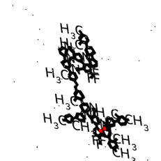 Cc1ccc(-c2ccc3c(c2)c2cc(-c4ccc(CCc5ccc(-c6ccc7c8ccccc8n(-c8cc(-c9ccc(C(F)(F)F)cc9C#N)c(-n9c%10ccccc%10c%10ccc(-c%11ccc(C)cc%11C)cc%109)cc8C#N)c7c6)c(C)c5)cc4C)ccc2n3-c2cc(-c3ccc(C(F)(F)F)cc3C#N)c(-n3c4ccc(-c5ccc(C)cc5C)cc4c4cc(-c5ccc(C)cc5C)ccc43)cc2C#N)c(C)c1